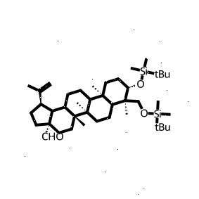 C=C(C)[C@@H]1CC[C@]2(C=O)CC[C@]3(C)C(CCC4[C@@]5(C)CC[C@H](O[Si](C)(C)C(C)(C)C)[C@@](C)(CO[Si](C)(C)C(C)(C)C)C5CC[C@]43C)C12